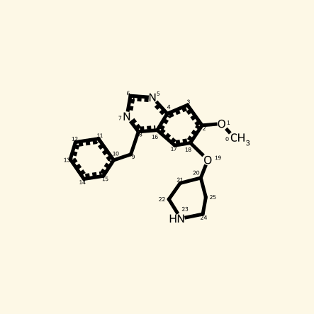 COc1cc2ncnc(Cc3ccccc3)c2cc1OC1CCNCC1